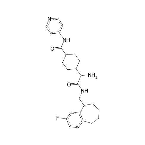 NC(C(=O)NCC1CCCCc2ccc(F)cc21)C1CCC(C(=O)Nc2ccncc2)CC1